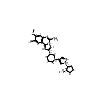 COc1cc2nc(N)n3nc([C@@H]4CCCN(c5cnn([C@H]6CCC[C@H]6O)c5)C4)nc3c2cc1F